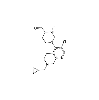 C[C@@H]1CN(c2c(Cl)cnc3c2CCN(CC2CC2)C3)CCC1C=O